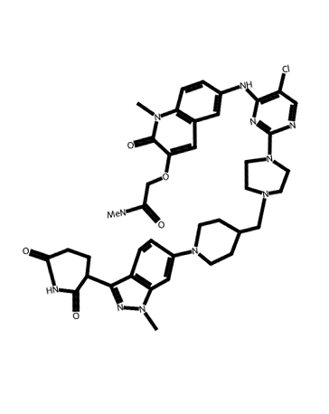 CNC(=O)COc1cc2cc(Nc3nc(N4CCN(CC5CCN(c6ccc7c(C8CCC(=O)NC8=O)nn(C)c7c6)CC5)CC4)ncc3Cl)ccc2n(C)c1=O